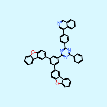 c1ccc(-c2nc(-c3ccc(-c4cncc5ccccc45)cc3)nc(-c3cc(-c4ccc5oc6ccccc6c5c4)cc(-c4ccc5oc6ccccc6c5c4)c3)n2)cc1